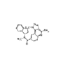 CN(C(=O)c1ccc2nc(N)c3cnn(C)c3c2c1)[C@@H]1CCc2ccccc21